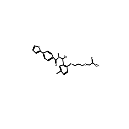 [2H]C(c1cc(C)ccc1OCCCCCC(=O)O)N(C)C(=O)c1ccc(-c2ccco2)cc1